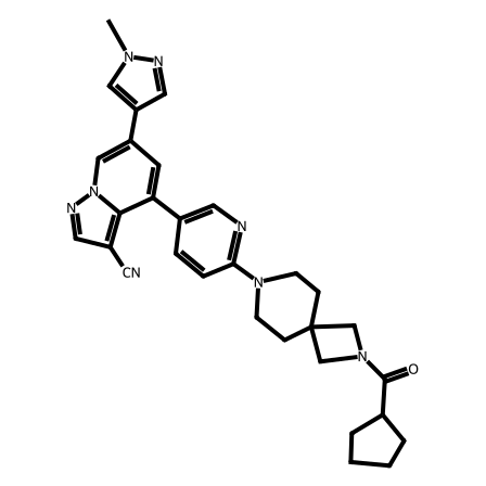 Cn1cc(-c2cc(-c3ccc(N4CCC5(CC4)CN(C(=O)C4CCCC4)C5)nc3)c3c(C#N)cnn3c2)cn1